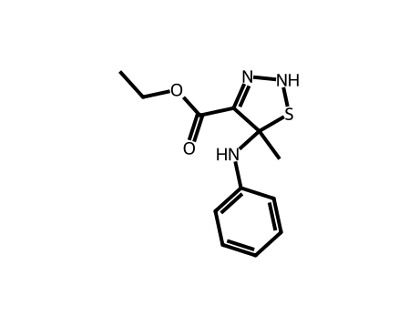 CCOC(=O)C1=NNSC1(C)Nc1ccccc1